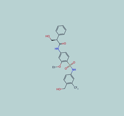 CCOc1cc(NC(=O)[C@@H](CO)c2ccccc2)ccc1S(=O)(=O)Nc1ccc(CO)c(C(F)(F)F)c1